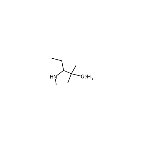 CCC(NC)[C](C)(C)[GeH3]